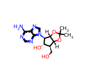 CC1(C)O[C@@H]2[C@@H](CO)[C@H](O)[C@@H](n3cnc4c(N)ncnc43)[C@@H]2O1